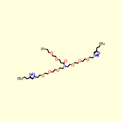 CC(C)CCOCCOCCC(=O)N(CCOCCOCCOCCn1cc(CCC(C)(C)C)nn1)CCOCCOCCOCCn1cc(CCC(C)(C)C)nn1